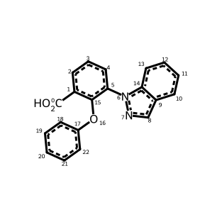 O=C(O)c1cccc(-n2ncc3ccccc32)c1Oc1ccccc1